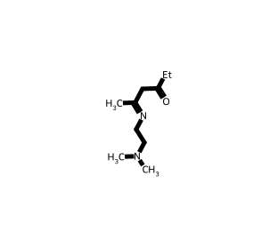 CCC(=O)CC(C)=NCCN(C)C